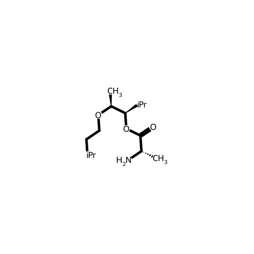 CC(C)CCO[C@@H](C)[C@H](OC(=O)[C@H](C)N)C(C)C